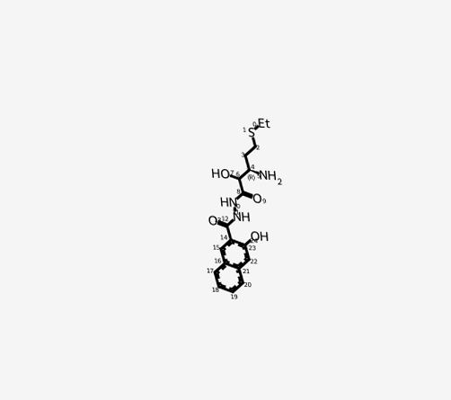 CCSCC[C@@H](N)C(O)C(=O)NNC(=O)c1cc2ccccc2cc1O